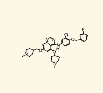 CN1CCC(COc2cc(OC3CCN(C)CC3)c3c(Nc4ccc(OCc5cccc(F)c5)c(Cl)c4)ncnc3c2)CC1